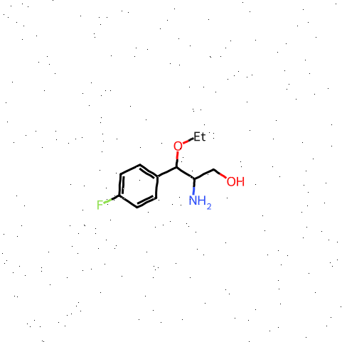 CCOC(c1ccc(F)cc1)C(N)CO